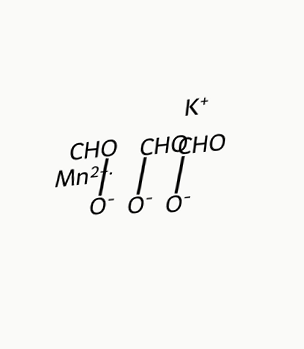 O=C[O-].O=C[O-].O=C[O-].[K+].[Mn+2]